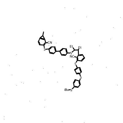 CCC(C)Sc1ccc(Sc2ccc(Sc3cccc(C(CC)C(CC)Sc4ccc(-c5ccc(Sc6ccc7c(c6C#N)C7C)cc5)cc4)c3C#N)cc2)cc1